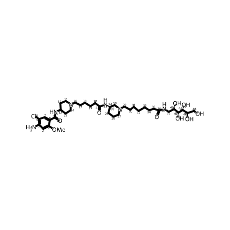 COc1cc(N)c(Cl)cc1C(=O)NC1CCN(CCCCCC(=O)N[C@@H]2CCCN(CCCCCCCC(=O)NC[C@H](O)[C@@H](O)[C@H](O)[C@H](O)CO)C2)CC1